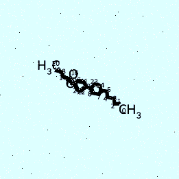 CCCCCCC1CC=C(c2ccc(OC(=O)CCCC)cc2)CC1